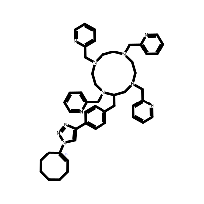 C1=C(/n2cc(-c3ccc(CC4CN(Cc5ccccn5)CCN(Cc5ccccn5)CCN(Cc5ccccn5)CCN4Cc4ccccn4)cc3)nn2)CCCCCC/1